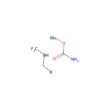 CC(C)(C)OC(N)=O.FC(F)(F)B[CH2][K]